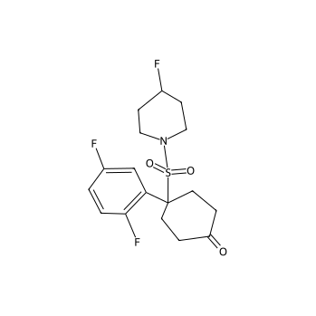 O=C1CCC(c2cc(F)ccc2F)(S(=O)(=O)N2CCC(F)CC2)CC1